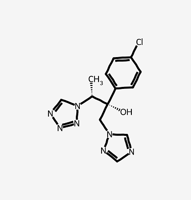 C[C@@H](n1cnnn1)[C@](O)(Cn1cncn1)c1ccc(Cl)cc1